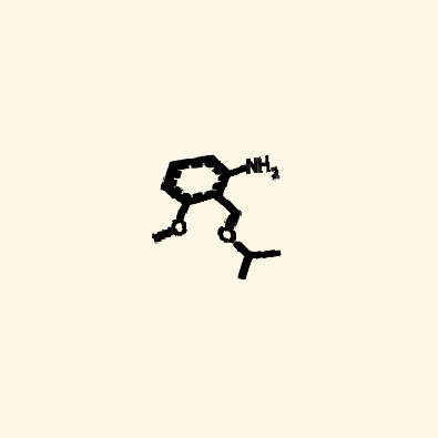 COc1cccc(N)c1COC(C)C